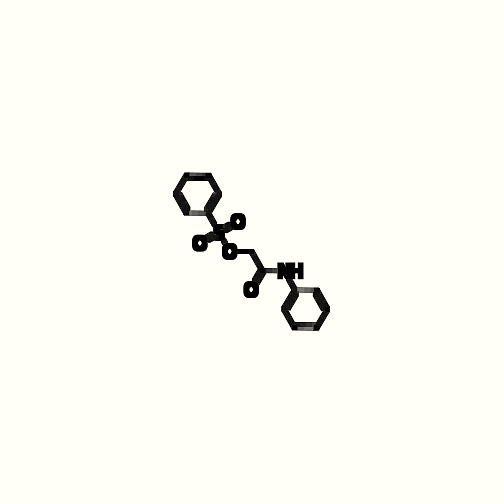 O=C(COS(=O)(=O)c1ccccc1)Nc1ccccc1